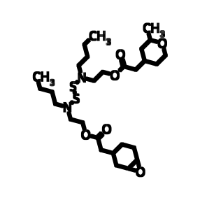 CCCCN(CCOC(=O)CC1CCOC(C)C1)SSN(CCCC)CCOC(=O)CC1CCC2OC2C1